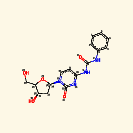 O=C(Nc1ccccc1)Nc1ccn([C@H]2C[C@@H](O)C(CO)O2)c(=O)n1